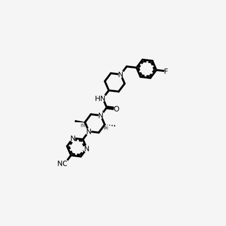 C[C@@H]1CN(c2ncc(C#N)cn2)[C@@H](C)CN1C(=O)NC1CCN(Cc2ccc(F)cc2)CC1